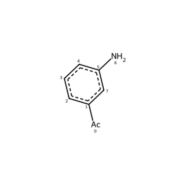 [CH2]C(=O)c1cccc(N)c1